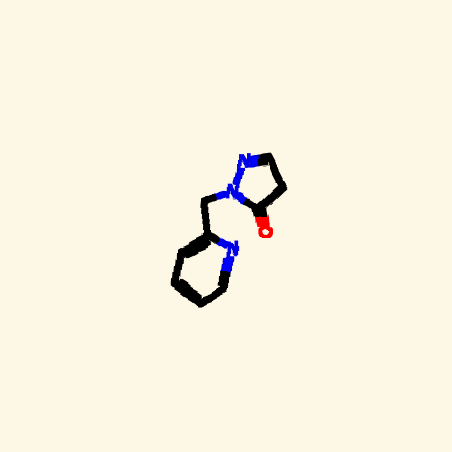 O=C1CC=NN1Cc1ccccn1